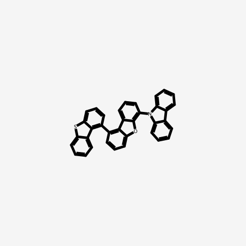 c1cc(-c2cccc3sc4ccccc4c23)c2c(c1)oc1c(-n3c4ccccc4c4ccccc43)cccc12